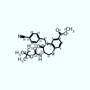 COC(=O)c1ccc2c(c1)N(Cc1ccc(C#N)cc1)C(=O)[C@@H](NC(=O)OC(C)(C)C)CS2